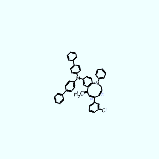 C=C1/C=C(c2cccc(Cl)c2)\C=C/CN(c2ccccc2)c2ccc(N(c3ccc(-c4ccccc4)cc3)c3ccc(-c4ccccc4)cc3)cc21